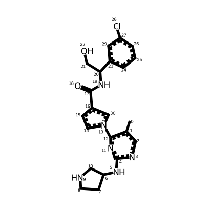 Cc1cnc(NC2CCNC2)nc1-n1ccc(C(=O)NC(CO)c2cccc(Cl)c2)c1